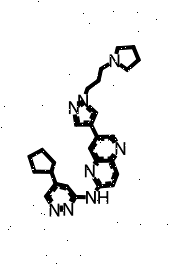 c1nc2ccc(Nc3cc(C4CCCC4)cnn3)nc2cc1-c1cnn(CCCN2CCCC2)c1